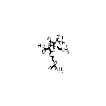 C=CC[C@]12SC(SCCOC(N)=O)=C(C(=O)O)N1C(=O)[C@@H]2C(C)O